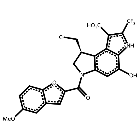 COc1ccc2oc(C(=O)N3C[C@@H](CCl)c4c3cc(O)c3[nH]c(C(F)(F)F)c(C(=O)O)c43)cc2c1